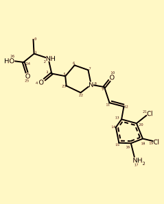 CC(NC(=O)C1CCN(C(=O)C=Cc2ccc(N)c(Cl)c2Cl)CC1)C(=O)O